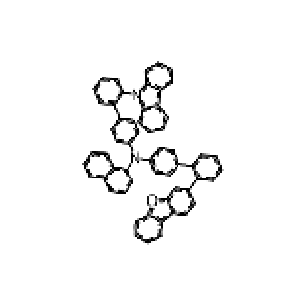 c1ccc(-c2ccc3c(c2)oc2ccccc23)c(-c2ccc(N(c3ccc(-c4ccccc4-n4c5ccccc5c5ccccc54)cc3)c3cccc4ccccc34)cc2)c1